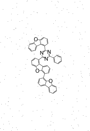 c1ccc(-c2nc(-c3cccc4oc5ccccc5c34)nc(-c3cccc4oc5c(-c6cccc7c6oc6ccccc67)cccc5c34)n2)cc1